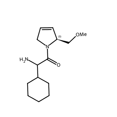 COC[C@@H]1C=CCN1C(=O)C(N)C1CCCCC1